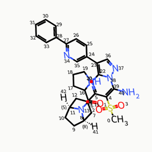 CS(=O)(=O)c1c(C2C[C@H]3CC[C@@H](C2)N3C(=O)C2CCCN2)nc2c(-c3ccc(-c4ccccc4)nc3)cnn2c1N